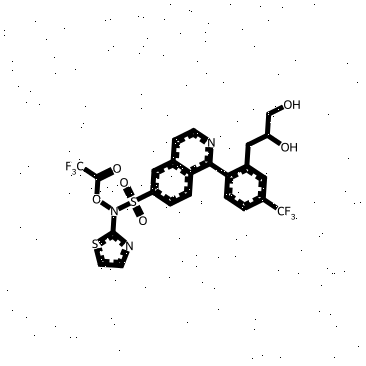 O=C(ON(c1nccs1)S(=O)(=O)c1ccc2c(-c3ccc(C(F)(F)F)cc3CC(O)CO)nccc2c1)C(F)(F)F